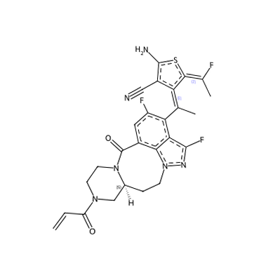 C=CC(=O)N1CCN2C(=O)c3cc(F)c(/C(C)=c4\c(C#N)c(N)s\c4=C(\C)F)c4c(F)nn(c34)CC[C@H]2C1